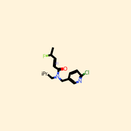 CC(F)/C=C/C(=O)N(Cc1ccc(Cl)nc1)CC(C)C